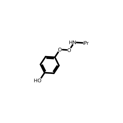 CC(C)NOOc1ccc(O)cc1